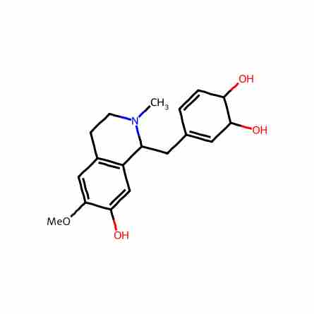 COc1cc2c(cc1O)C(CC1=CC(O)C(O)C=C1)N(C)CC2